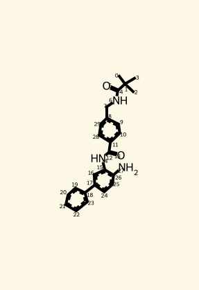 CC(C)(C)C(=O)NCc1ccc(C(=O)Nc2cc(-c3ccccc3)ccc2N)cc1